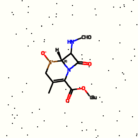 CC1=C(C(=O)OC(C)(C)C)N2C(=O)C(NC=O)[C@H]2[S+]([O-])C1